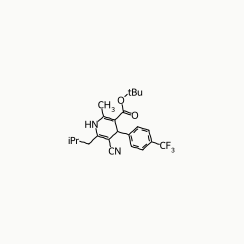 CC1=C(C(=O)OC(C)(C)C)C(c2ccc(C(F)(F)F)cc2)C(C#N)=C(CC(C)C)N1